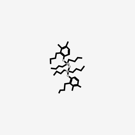 CCCCc1c([O][Sn]([CH2]CCC)([CH2]CCC)[O][Sn]([CH2]CCC)([CH2]CCC)[O]c2ccc(C)c(C)c2CCCC)ccc(C)c1C